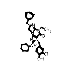 CCN1C(=O)c2c(nc(NC3CCCCC3)n2Cc2ccc(O)c(Cl)c2)N2C[C@@H](Cc3ccccc3)N=C12